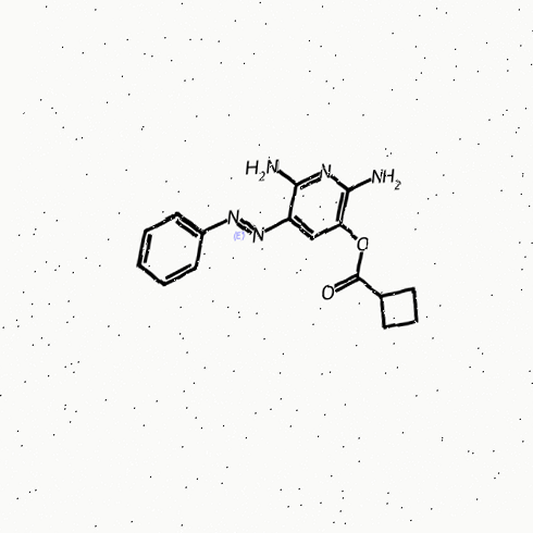 Nc1nc(N)c(OC(=O)C2CCC2)cc1/N=N/c1ccccc1